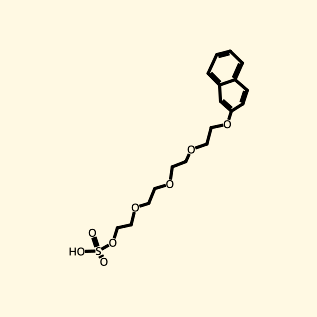 O=S(=O)(O)OCCOCCOCCOCCOc1ccc2ccccc2c1